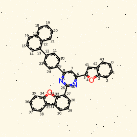 c1ccc2oc(-c3cc(-c4ccc(-c5cccc6ccccc56)cc4)nc(-c4cccc5c4oc4ccccc45)n3)cc2c1